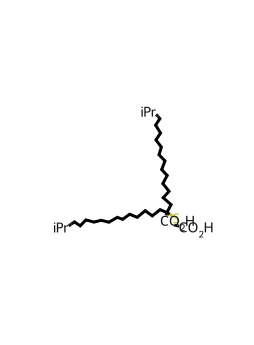 CC(C)CCCCCCCCCCCCCC(CCCCCCCCCCCCCC(C)C)(SCC(=O)O)C(=O)O